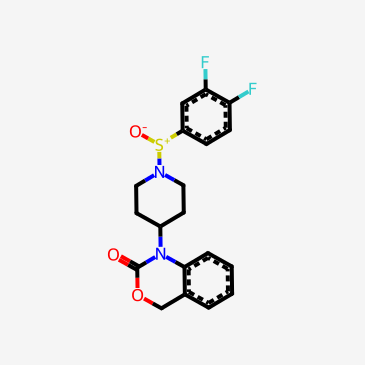 O=C1OCc2ccccc2N1C1CCN([S+]([O-])c2ccc(F)c(F)c2)CC1